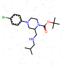 CC(C)CNCC1CN(c2ccc(Br)cc2)CCN1C(=O)OC(C)(C)C